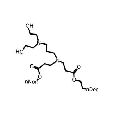 CCCCCCCCCCCCOC(=O)CCN(CCCN(CCO)CCO)CCC(=O)OCCCCCCCCC